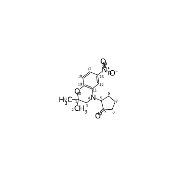 CC1(C)CN(C2CCCC2=O)c2cc([N+](=O)[O-])ccc2O1